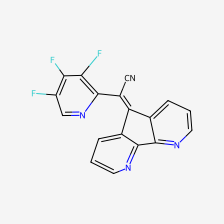 N#CC(=C1c2cccnc2-c2ncccc21)c1ncc(F)c(F)c1F